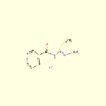 C/N=C(/NC(=O)c1ccccc1)SC.I